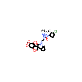 Cc1c(Cl)cccc1NC(=O)NCCN1C(=O)C2(COc3cc4c(cc32)OCO4)c2ccccc21